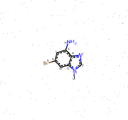 Cn1cnc2c(N)cc(Br)cc21